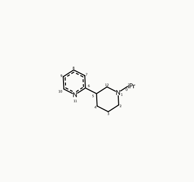 CC(C)N1CCCC(c2ccccn2)C1